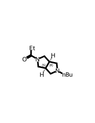 CCCCN1C[C@@H]2CN(C(=O)CC)C[C@@H]2C1